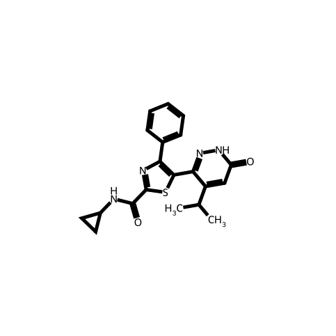 CC(C)c1cc(=O)[nH]nc1-c1sc(C(=O)NC2CC2)nc1-c1ccccc1